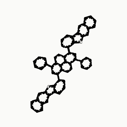 c1ccc(-c2cc(-c3cccc4c3oc3cc5ccccc5cc34)c3ccc4c(-c5ccccc5)cc(-c5cccc6c5oc5cc7ccccc7cc56)c5ccc2c3c45)cc1